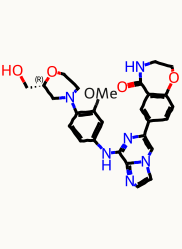 COc1cc(Nc2nc(-c3ccc4c(c3)C(=O)NCCO4)cn3ccnc23)ccc1N1CCO[C@@H](CO)C1